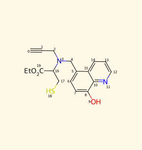 C#CCN(Cc1ccc(O)c2ncccc12)C(CS)C(=O)OCC